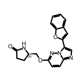 O=C1CC[C@H](COc2ccc3ncc(-c4cc5ccccc5o4)n3n2)N1